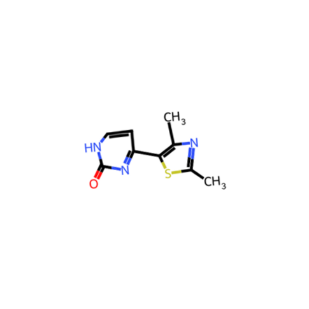 Cc1nc(C)c(-c2cc[nH]c(=O)n2)s1